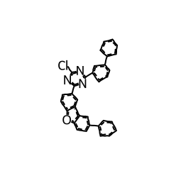 Clc1nc(-c2cccc(-c3ccccc3)c2)nc(-c2ccc3oc4ccc(-c5ccccc5)cc4c3c2)n1